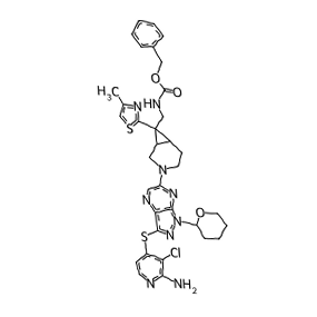 Cc1csc(C2(CNC(=O)OCc3ccccc3)C3CCN(c4cnc5c(Sc6ccnc(N)c6Cl)nn(C6CCCCO6)c5n4)CC32)n1